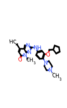 C#Cc1cc(=O)n(C)c2nc(Nc3ccc(N4CCN(C)CC4)c(OCC4CCCC4)c3)ncc12